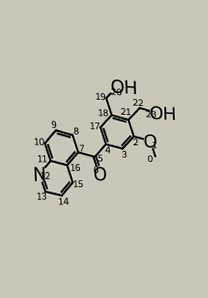 COc1cc(C(=O)c2cccc3ncccc23)cc(CO)c1CO